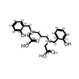 O=C(O)CN(CCCN(CC(=O)O)Cc1ccccc1O)Cc1ccccc1O